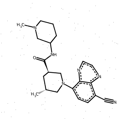 C[C@@H]1C[C@@H](C(=O)NC2CCCN(C)C2)CN(c2ccc(C#N)c3nccnc23)C1